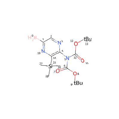 Bc1cnc(N(C(=O)OC(C)(C)C)C(=O)OC(C)(C)C)c([Si](C)(C)C)n1